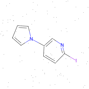 Ic1ccc(-n2cccc2)cn1